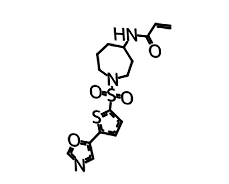 C=CC(=O)NC1CCCN(S(=O)(=O)c2ccc(-c3cnco3)s2)CC1